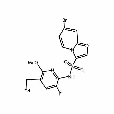 COc1nc(NS(=O)(=O)c2cnc3cc(Br)ccn23)c(F)cc1CC#N